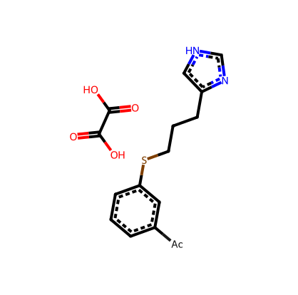 CC(=O)c1cccc(SCCCc2c[nH]cn2)c1.O=C(O)C(=O)O